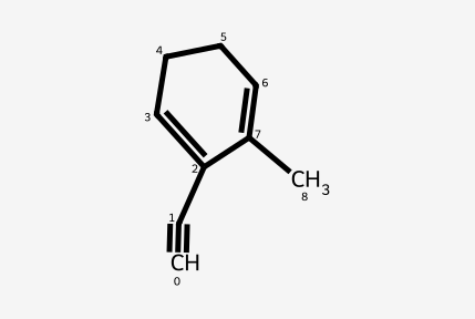 C#CC1=CCCC=C1C